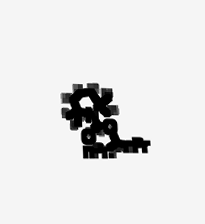 CCCC(CCC)OC(=O)N1C(C)(C)CCCC1(C)C